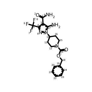 NC(=O)c1c(C(F)(F)F)nn(C2CCN(C(=O)OCc3ccccc3)CC2)c1N